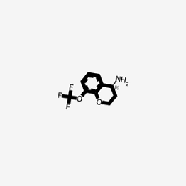 N[C@@H]1CCOc2c(OC(F)(F)F)cccc21